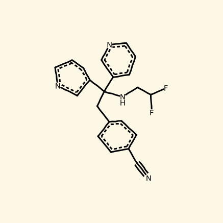 N#Cc1ccc(CC(NCC(F)F)(c2cccnc2)c2cccnc2)cc1